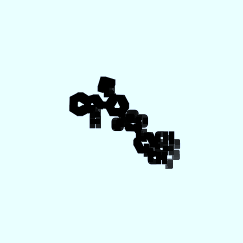 CN1CCN(C(=O)CS(=O)(=O)c2ccc(N3CCC3)c(-c3cc4ccccc4[nH]3)c2)CC1(C)C